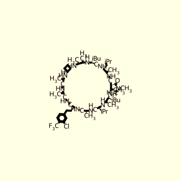 CC[C@H](C)[C@@H]1NC(C)[C@@H](C(=O)N(C)C)CNC(C)[C@H](CC(C)C)NC[C@H]([C@@H](C)CC)NC(C)[C@H](C)NC2CC[C@@H]2NC(C)CNC(C)CNC[C@H](CCc2ccc(C(F)(F)F)c(Cl)c2)NC[C@@H](C)NC[C@H](C(C)C)NC1C